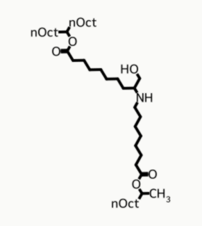 CCCCCCCCC(C)OC(=O)CCCCCCCNC(CO)CCCCCCCC(=O)OC(CCCCCCCC)CCCCCCCC